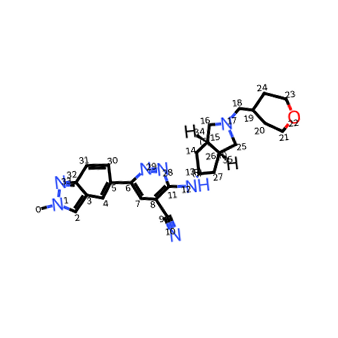 Cn1cc2cc(-c3cc(C#N)c(N[C@@H]4C[C@@H]5CN(CC6CCOCC6)C[C@@H]5C4)nn3)ccc2n1